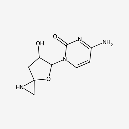 Nc1ccn(C2OC3(CN3)CC2O)c(=O)n1